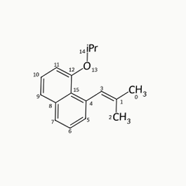 CC(C)=Cc1cccc2cccc(OC(C)C)c12